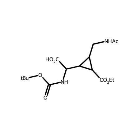 CCOC(=O)C1C(CNC(C)=O)C1C(NC(=O)OC(C)(C)C)C(=O)O